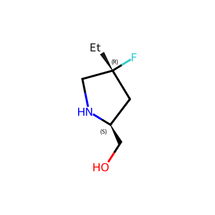 CC[C@]1(F)CN[C@H](CO)C1